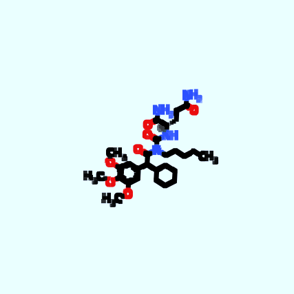 CCCCCN(C(=O)N[C@@H](CCC(N)=O)C(N)=O)C(=O)C(c1cc(OC)c(OC)c(OC)c1)C1CCCCC1